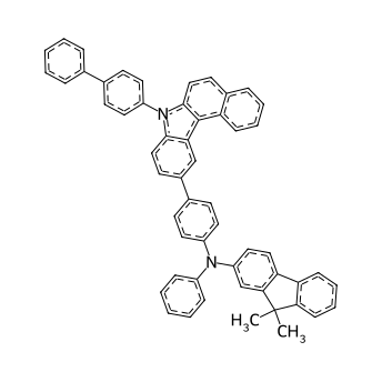 CC1(C)c2ccccc2-c2ccc(N(c3ccccc3)c3ccc(-c4ccc5c(c4)c4c6ccccc6ccc4n5-c4ccc(-c5ccccc5)cc4)cc3)cc21